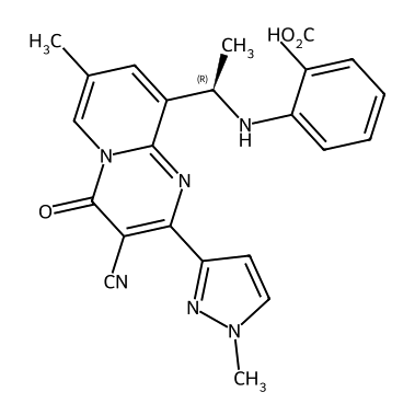 Cc1cc([C@@H](C)Nc2ccccc2C(=O)O)c2nc(-c3ccn(C)n3)c(C#N)c(=O)n2c1